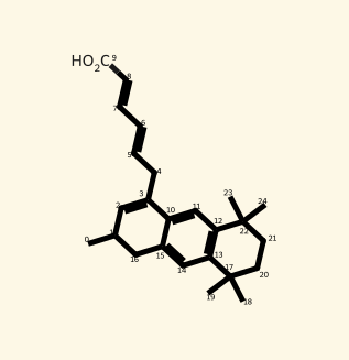 CC1C=C(CC=CC=CC(=O)O)c2cc3c(cc2C1)C(C)(C)CCC3(C)C